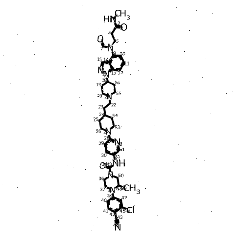 CNC(=O)CCN(C=O)c1cccc2c1cnn2C1CCN(CCC2CCN(c3ccc(NC(=O)N4CCN(c5ccc(C#N)c(Cl)c5)C(C)C4)cn3)CC2)CC1